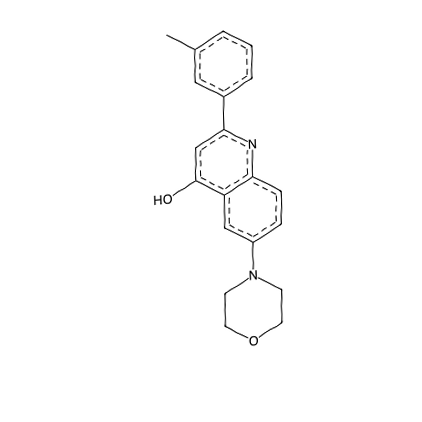 Cc1cccc(-c2cc(O)c3cc(N4CCOCC4)ccc3n2)c1